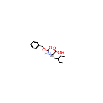 CCC(CC)C[C@H](NC(=O)OCc1ccccc1)C(=O)O